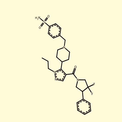 CCCn1ncc(C(=O)N2CC(c3ccccc3)C(F)(F)C2)c1C1CCN(Cc2ccc(S(N)(=O)=O)cc2)CC1